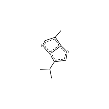 Cc1cnn2c(C(C)C)coc12